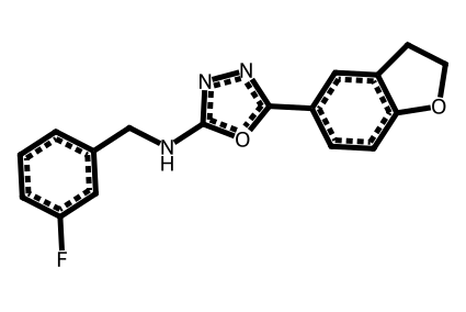 Fc1cccc(CNc2nnc(-c3ccc4c(c3)CCO4)o2)c1